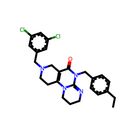 CCc1ccc(CN2C(=O)C3=C(CCN(Cc4cc(Cl)cc(Cl)c4)C3)N3CCCN=C23)cc1